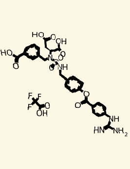 N=C(N)Nc1ccc(C(=O)Oc2ccc(CNS(=O)(=O)N(Cc3cccc(C(=O)O)c3)[C@@H](CC(=O)O)C(=O)O)cc2)cc1.O=C(O)C(F)(F)F